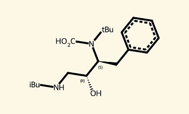 CCC(C)NC[C@@H](O)[C@H](Cc1ccccc1)N(C(=O)O)C(C)(C)C